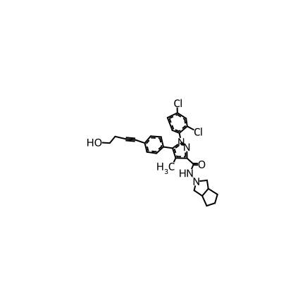 Cc1c(C(=O)NN2CC3CCCC3C2)nn(-c2ccc(Cl)cc2Cl)c1-c1ccc(C#CCCO)cc1